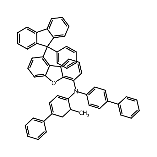 CC1CC(c2ccccc2)=CC=C1N(c1ccc(-c2ccccc2)cc1)c1cccc2c1oc1cccc(C3(c4ccccc4)c4ccccc4-c4ccccc43)c12